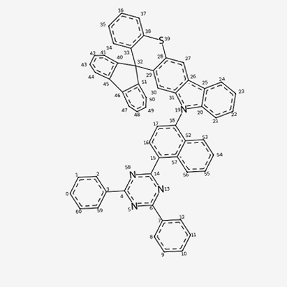 c1ccc(-c2nc(-c3ccccc3)nc(-c3ccc(-n4c5ccccc5c5cc6c(cc54)C4(c5ccccc5S6)c5ccccc5-c5ccccc54)c4ccccc34)n2)cc1